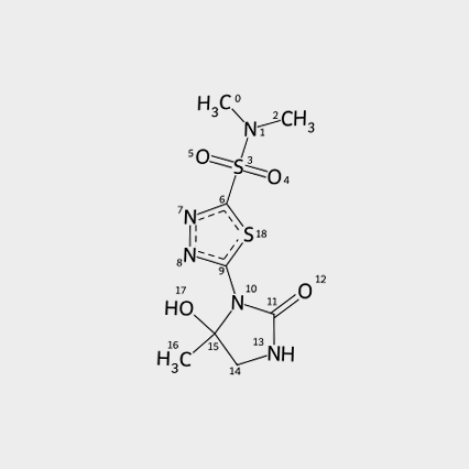 CN(C)S(=O)(=O)c1nnc(N2C(=O)NCC2(C)O)s1